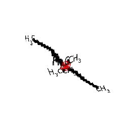 CCCCCCCCCCCCCCCCCC[O][Ti]([O]CCCCCCCCCCCCCCCCCC)([O]C(C)C)[O]C(C)C